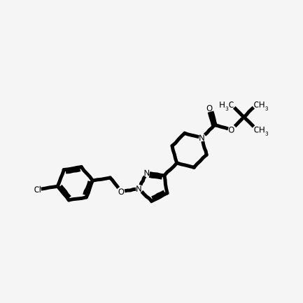 CC(C)(C)OC(=O)N1CCC(c2ccn(OCc3ccc(Cl)cc3)n2)CC1